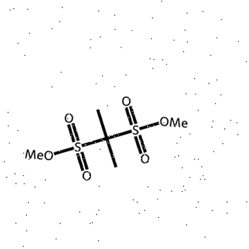 COS(=O)(=O)C(C)(C)S(=O)(=O)OC